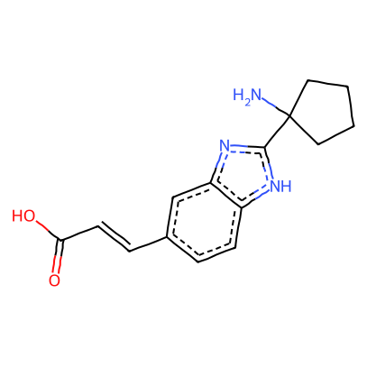 NC1(c2nc3cc(C=CC(=O)O)ccc3[nH]2)CCCC1